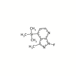 Cc1nn(F)c2nccc([Si](C)(C)C)c12